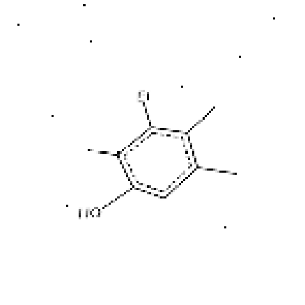 CCc1c(C)c(C)cc(O)c1C